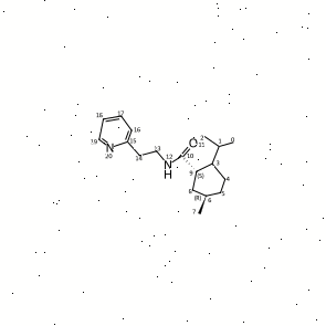 CC(C)C1CC[C@@H](C)C[C@@H]1C(=O)NCCc1ccccn1